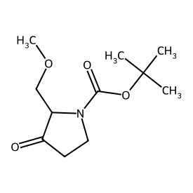 COCC1C(=O)CCN1C(=O)OC(C)(C)C